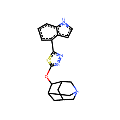 c1cc(-c2nnc(OC3C4CC5CC3CN(C5)C4)s2)c2cc[nH]c2c1